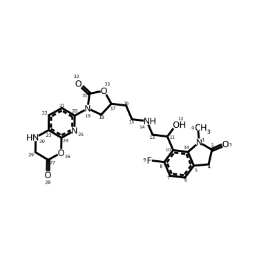 CN1C(=O)Cc2ccc(F)c(C(O)CNCCC3CN(c4ccc5c(n4)OC(=O)CN5)C(=O)O3)c21